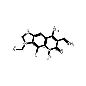 C=Cc1c(C)c2cc3c(c(F)c2n(C(C)C)c1=O)N(CC(C)C)CO3